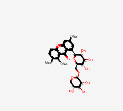 COc1cc([C@@H]2O[C@H](CO[C@@H]3OC[C@@H](O)[C@H](O)[C@H]3O)[C@@H](O)[C@H](O)[C@H]2O)c2c(=O)c3c(OC)c(OC)ccc3oc2c1